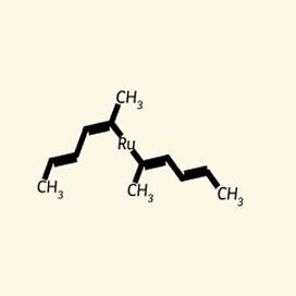 CC=CC=[C](C)[Ru][C](C)=CC=CC